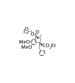 CCOC(=O)N(Cc1ccccc1)C1CC(C)N(C(=O)OCc2ccco2)c2cc(OC)c(OC)cc21